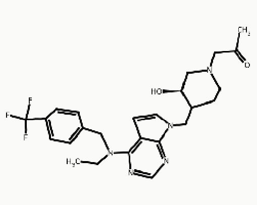 CCN(Cc1ccc(C(F)(F)F)cc1)c1ncnc2c1ccn2CC1CCN(CC(C)=O)C[C@@H]1O